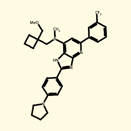 COCC1(CN(C)c2cc(-c3cccc(C(F)(F)F)c3)nc3nc(-c4ccc(N5CCCC5)cc4)[nH]c23)CCC1